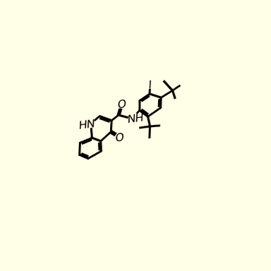 CC(C)(C)c1cc(C(C)(C)C)c(NC(=O)c2c[nH]c3ccccc3c2=O)cc1I